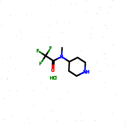 CN(C(=O)C(F)(F)F)C1CCNCC1.Cl